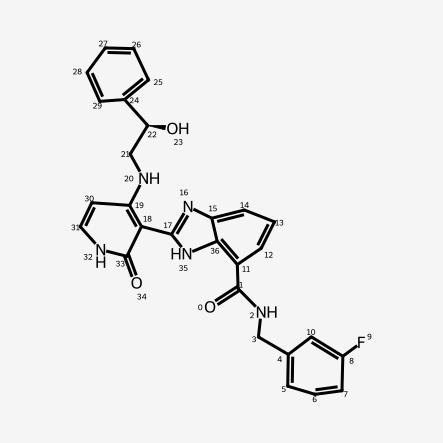 O=C(NCc1cccc(F)c1)c1cccc2nc(-c3c(NC[C@H](O)c4ccccc4)cc[nH]c3=O)[nH]c12